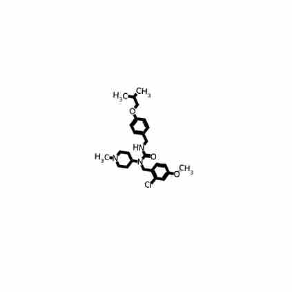 COc1ccc(CN(C(=O)NCc2ccc(OCC(C)C)cc2)C2CCN(C)CC2)c(Cl)c1